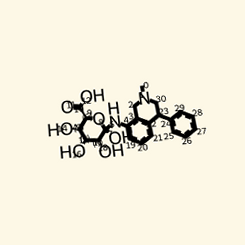 CN1Cc2c(NC3(O)O[C@H](C(=O)O)[C@@H](O)[C@H](O)[C@H]3O)cccc2C(c2ccccc2)C1